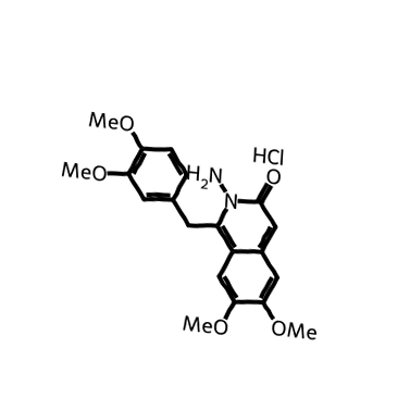 COc1ccc(Cc2c3cc(OC)c(OC)cc3cc(=O)n2N)cc1OC.Cl